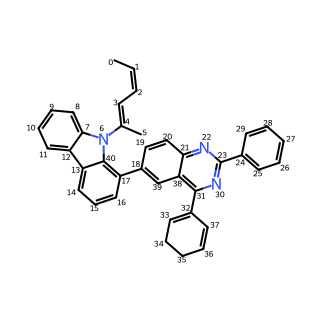 C/C=C\C=C(/C)n1c2ccccc2c2cccc(-c3ccc4nc(-c5ccccc5)nc(C5=CCCC=C5)c4c3)c21